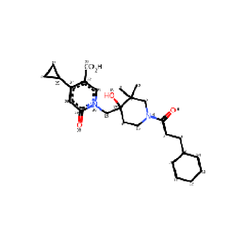 CC1(C)CN(C(=O)CCC2CCCCC2)CCC1(O)Cn1cc(C(=O)O)c(C2CC2)cc1=O